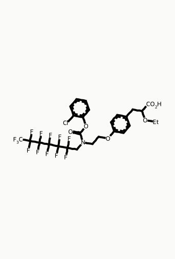 CCOC(Cc1ccc(OCCN(CC(F)(F)C(F)(F)C(F)(F)C(F)(F)C(F)(F)C(F)(F)F)C(=O)Oc2ccccc2Cl)cc1)C(=O)O